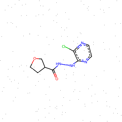 O=C(NNc1nccnc1Cl)C1CCOC1